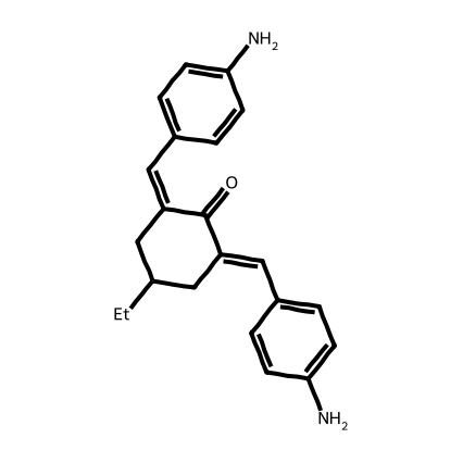 CCC1CC(=Cc2ccc(N)cc2)C(=O)C(=Cc2ccc(N)cc2)C1